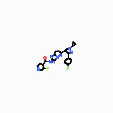 O=C(Nc1cn2nc(-c3cn(C4CC4)nc3-c3ccc(F)cc3)ccc2n1)c1ccncc1F